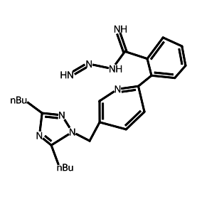 CCCCc1nc(CCCC)n(Cc2ccc(-c3ccccc3C(=N)NN=N)nc2)n1